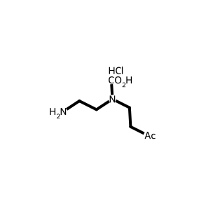 CC(=O)CCN(CCN)C(=O)O.Cl